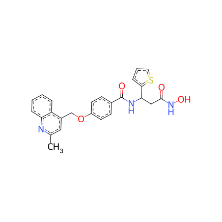 Cc1cc(COc2ccc(C(=O)NC(CC(=O)NO)c3cccs3)cc2)c2ccccc2n1